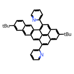 CC(C)(C)c1ccc2cc3c(cc2c1)cc1c(-c2ccccn2)cc2cc(C(C)(C)C)cc4cc(-c5ccccn5)c3c1c24